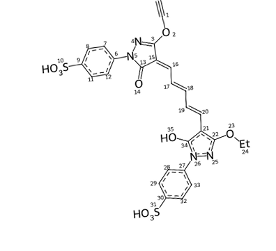 C#COC1=NN(c2ccc(S(=O)(=O)O)cc2)C(=O)/C1=C\C=CC=Cc1c(OCC)nn(-c2ccc(S(=O)(=O)O)cc2)c1O